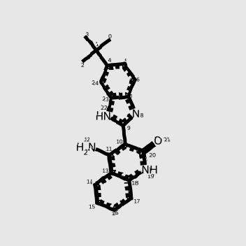 CC(C)(C)c1ccc2nc(-c3c(N)c4ccccc4[nH]c3=O)[nH]c2c1